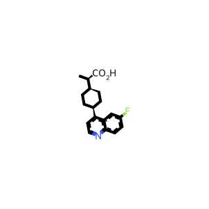 C[C@@H](C(=O)O)[C@H]1CC[C@@H](c2ccnc3ccc(F)cc32)CC1